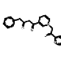 O=C(CC(=O)C1=CN(CC(=O)c2cccs2)C=CC1)Cc1ccccc1